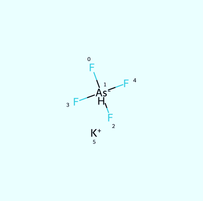 F[AsH-](F)(F)F.[K+]